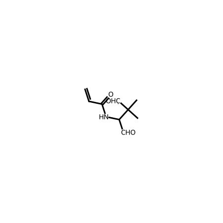 C=CC(=O)NC(C=O)C(C)(C)[C]=O